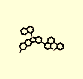 CC1C=Cc2cc3c(cc2C1)c1cc(-c2ccc4c5c(cccc25)-c2ccccc2O4)ccc1n3-c1cccc2ccccc12